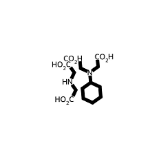 O=C(O)CN(CC(=O)O)C1CCCCC1.O=C(O)CNCC(=O)O